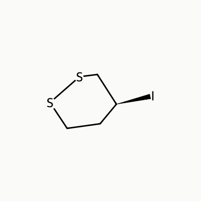 I[C@H]1CCSSC1